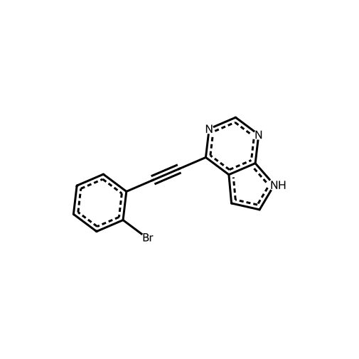 Brc1ccccc1C#Cc1ncnc2[nH]ccc12